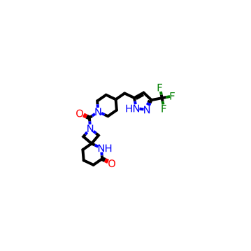 O=C1CCCC2(CN(C(=O)N3CCC(Cc4cc(C(F)(F)F)n[nH]4)CC3)C2)N1